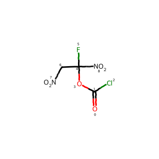 O=C(Cl)OC(F)(C[N+](=O)[O-])[N+](=O)[O-]